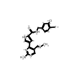 CNCc1cnc(N)nc1-c1c[nH]c(C(=O)NCc2ccc(F)c(Cl)c2)c1